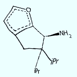 CC(C)C1(C(C)C)Cc2ccoc2[C@H]1N